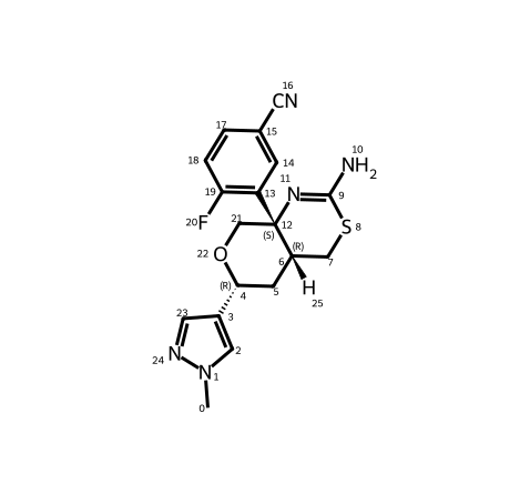 Cn1cc([C@H]2C[C@H]3CSC(N)=N[C@@]3(c3cc(C#N)ccc3F)CO2)cn1